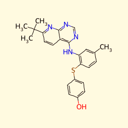 Cc1ccc(Sc2ccc(O)cc2)c(Nc2ncnc3nc(C(C)(C)C)ccc23)c1